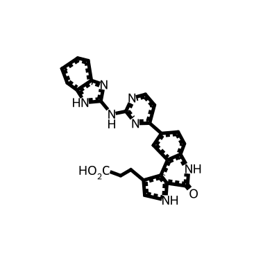 O=C(O)CCc1c[nH]c2c(=O)[nH]c3ccc(-c4ccnc(Nc5nc6ccccc6[nH]5)n4)cc3c12